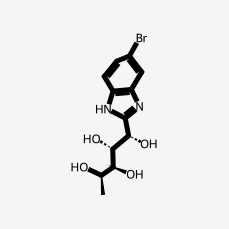 C[C@@H](O)[C@H](O)[C@H](O)[C@@H](O)c1nc2cc(Br)ccc2[nH]1